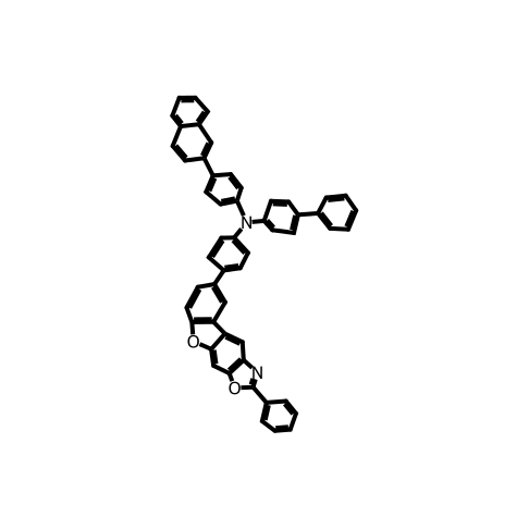 c1ccc(-c2ccc(N(c3ccc(-c4ccc5ccccc5c4)cc3)c3ccc(-c4ccc5oc6cc7oc(-c8ccccc8)nc7cc6c5c4)cc3)cc2)cc1